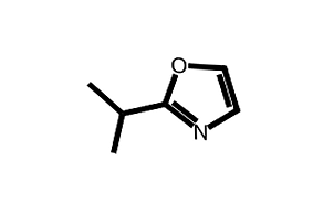 CC(C)c1ncco1